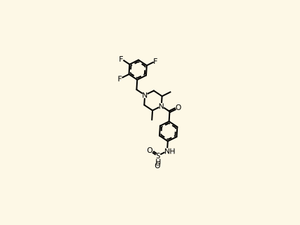 CC1CN(Cc2cc(F)cc(F)c2F)CC(C)N1C(=O)c1ccc(N[SH](=O)=O)cc1